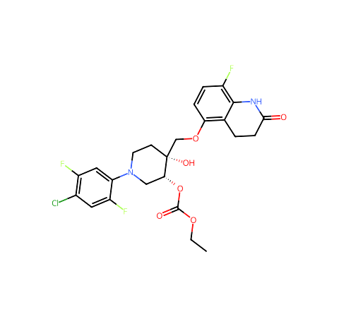 CCOC(=O)O[C@@H]1CN(c2cc(F)c(Cl)cc2F)CC[C@@]1(O)COc1ccc(F)c2c1CCC(=O)N2